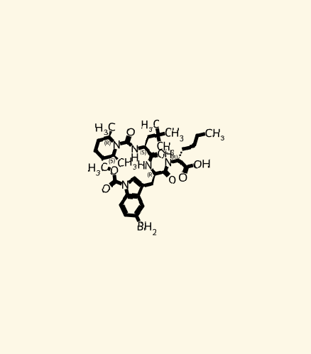 Bc1ccc2c(c1)c(C[C@@H](NC(=O)[C@H](CC(C)(C)C)NC(=O)N1[C@H](C)CCC[C@@H]1C)C(=O)N[C@H](CCCC)C(=O)O)cn2C(=O)OC